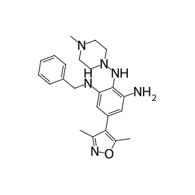 Cc1noc(C)c1-c1cc(N)c(NN2CCN(C)CC2)c(NCc2ccccc2)c1